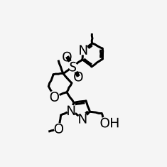 COCn1nc(CO)cc1C1CC(C)(S(=O)(=O)c2cccc(C)n2)CCO1